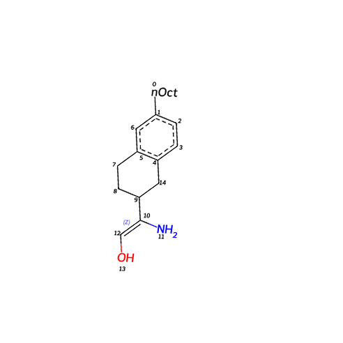 CCCCCCCCc1ccc2c(c1)CCC(/C(N)=C/O)C2